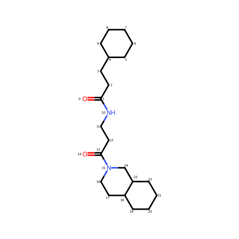 O=C(CCC1CCCCC1)NCCC(=O)N1CCC2CCCCC2C1